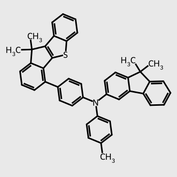 Cc1ccc(N(c2ccc(-c3cccc4c3-c3sc5ccccc5c3C4(C)C)cc2)c2ccc3c(c2)-c2ccccc2C3(C)C)cc1